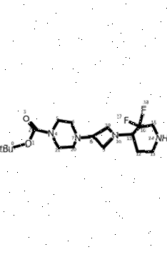 CC(C)(C)OC(=O)N1CCN(C2CN(C3CCNCC3(F)F)C2)CC1